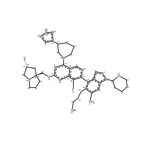 Cc1cc2c(cnn2C2CCCCO2)c(-c2ncc3c(N4CCCC(c5cn[nH]n5)C4)nc(OC[C@@]45CCCN4C[C@H](F)C5)nc3c2F)c1CCCO